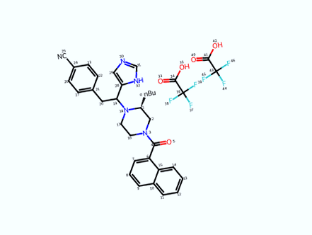 CCCC[C@H]1CN(C(=O)c2cccc3ccccc23)CCN1C(Cc1ccc(C#N)cc1)c1cnc[nH]1.O=C(O)C(F)(F)F.O=C(O)C(F)(F)F